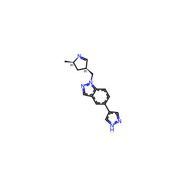 C[C@@H]1C[C@H](Cn2ncc3cc(-c4cn[nH]c4)ccc32)C=N1